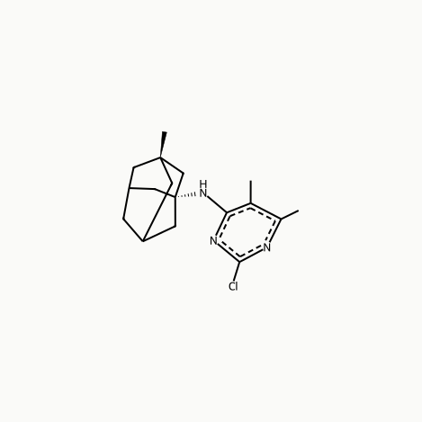 Cc1nc(Cl)nc(N[C@]23CC4CC(C[C@](C)(C4)C2)C3)c1C